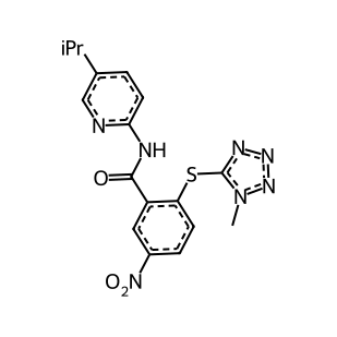 CC(C)c1ccc(NC(=O)c2cc([N+](=O)[O-])ccc2Sc2nnnn2C)nc1